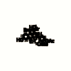 COc1cc(C(=O)Nc2c(Br)cc(Br)cc2CN(C)[C@@H]2CCC[C@H](O)C2)ccc1OC(C)=O.Cl